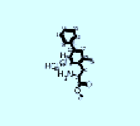 COC(=O)[C@@H](N)Cc1ccc(-c2ccccc2)cc1C.Cl.Cl